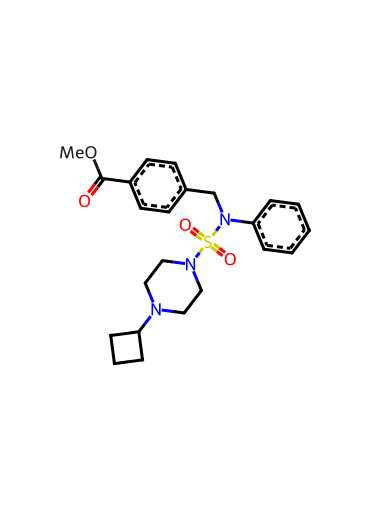 COC(=O)c1ccc(CN(c2ccccc2)S(=O)(=O)N2CCN(C3CCC3)CC2)cc1